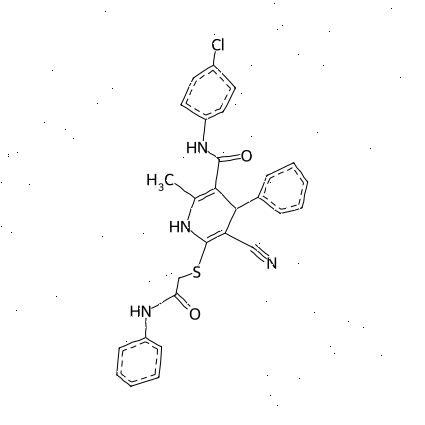 CC1=C(C(=O)Nc2ccc(Cl)cc2)C(c2ccccc2)C(C#N)=C(SCC(=O)Nc2ccccc2)N1